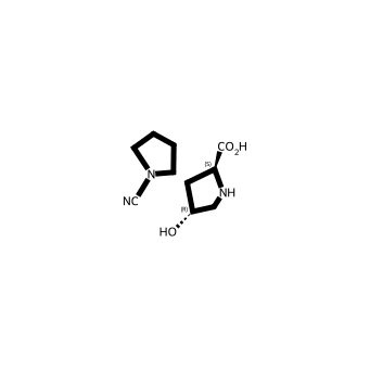 N#CN1CCCC1.O=C(O)[C@@H]1C[C@@H](O)CN1